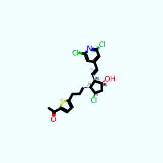 CC(=O)c1ccc(CCC[C@@H]2[C@@H](/C=C/c3cc(Cl)nc(Cl)c3)[C@H](O)C[C@H]2Cl)s1